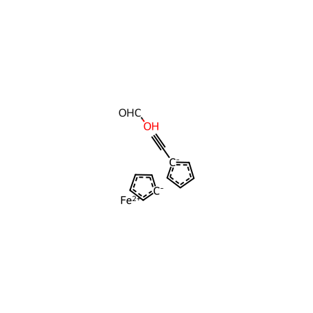 C#C[c-]1cccc1.O=CO.[Fe+2].c1cc[cH-]c1